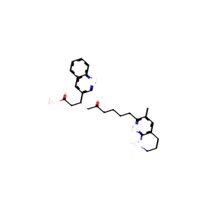 Cc1cc2c(nc1CCCCC(=O)C[C@@H](CC(=O)O)c1cnc3ccccc3c1)NCCC2